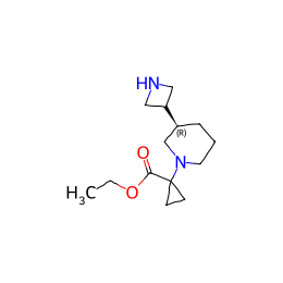 CCOC(=O)C1(N2CCC[C@H](C3CNC3)C2)CC1